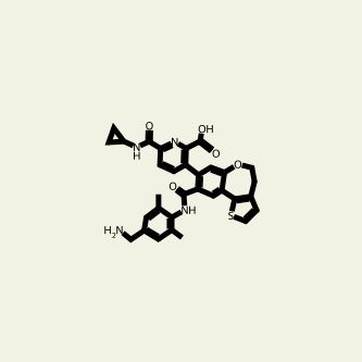 Cc1cc(CN)cc(C)c1NC(=O)c1cc2c(cc1-c1ccc(C(=O)NC3CC3)nc1C(=O)O)OCCc1ccsc1-2